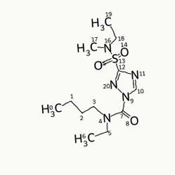 CCCCN(CC)C(=O)n1cnc(S(=O)(=O)N(C)CC)n1